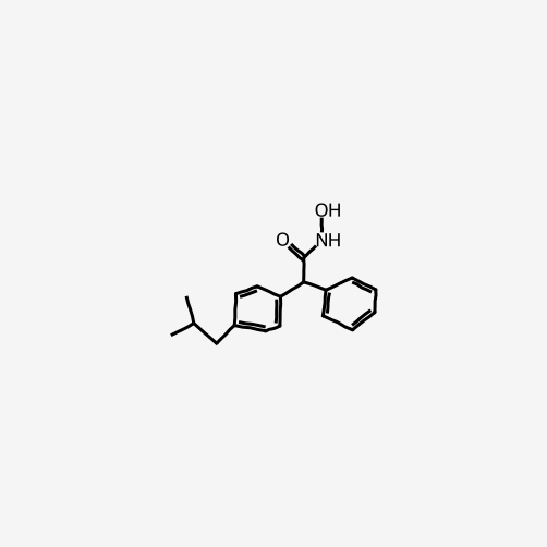 CC(C)Cc1ccc(C(C(=O)NO)c2ccccc2)cc1